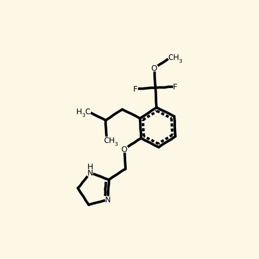 COC(F)(F)c1cccc(OCC2=NCCN2)c1CC(C)C